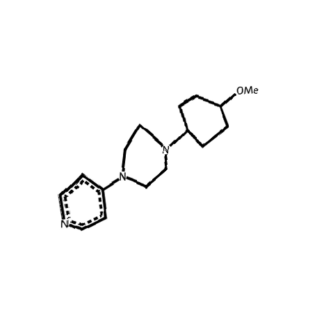 CO[C]1CCC(N2CCN(c3ccncc3)CC2)CC1